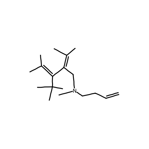 C=CCCN(C)CC(=C(C)C)C(=C(C)C)C(C)(C)C